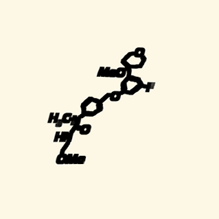 COCCNC(=O)N(C)c1ccc(COc2cc(F)cc(C3(OC)CCOCC3)c2)cc1